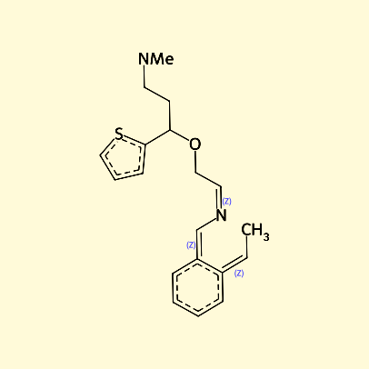 C/C=c1/cccc/c1=C/N=C\COC(CCNC)c1cccs1